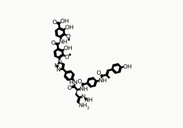 COc1c(NC(=O)c2ccc(-n3cc(-c4ccc(NC(=O)[C@H](C/C(=C/N)N=N)NC(=O)c5ccc(NC(=O)/C(C)=C/c6ccc(O)cc6)cc5)cc4)nn3)c(OC)c2O)ccc(C(=O)O)c1O